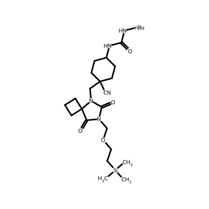 CCCCNC(=O)NC1CCC(C#N)(CN2C(=O)N(COCC[Si](C)(C)C)C(=O)C23CCC3)CC1